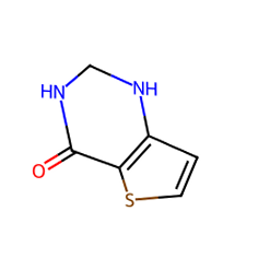 O=C1NCNc2ccsc21